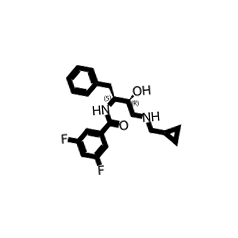 O=C(N[C@@H](Cc1ccccc1)[C@H](O)CNCC1CC1)c1cc(F)cc(F)c1